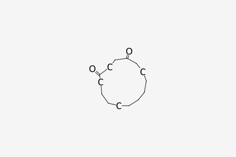 O=C1CCCCCCCCCCC(=O)CC1